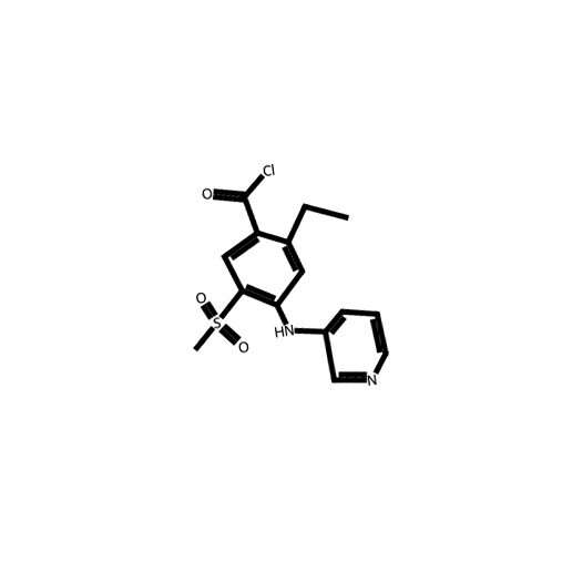 CCc1cc(Nc2cccnc2)c(S(C)(=O)=O)cc1C(=O)Cl